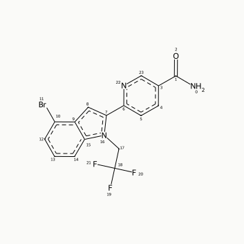 NC(=O)c1ccc(-c2cc3c(Br)cccc3n2CC(F)(F)F)nc1